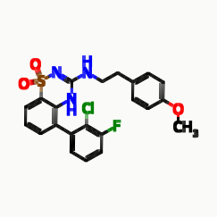 COc1ccc(CCNC2=NS(=O)(=O)c3cccc(-c4cccc(F)c4Cl)c3N2)cc1